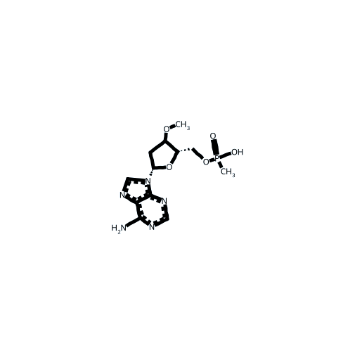 COC1C[C@@H](n2cnc3c(N)ncnc32)O[C@H]1COP(C)(=O)O